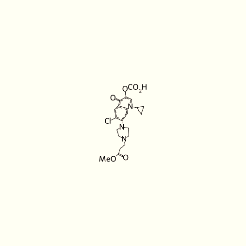 COC(=O)CCN1CCN(c2cc3c(cc2Cl)c(=O)c(OC(=O)O)cn3C2CC2)CC1